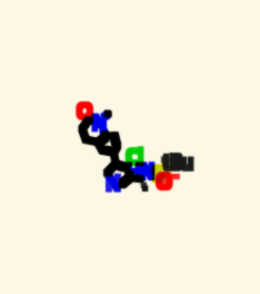 C[C@@H](N[S@+]([O-])C(C)(C)C)c1cncc(-c2ccc3c(c2)CCC(=O)N3C)c1Cl